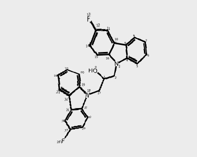 OC(Cn1c2ccccc2c2cc(F)ccc21)Cn1c2ccccc2c2cc(F)ccc21